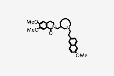 COc1ccc2cc(CCN3CCCCCC(CN4CCc5cc(OC)c(OC)cc5C4=O)C3)ccc2c1